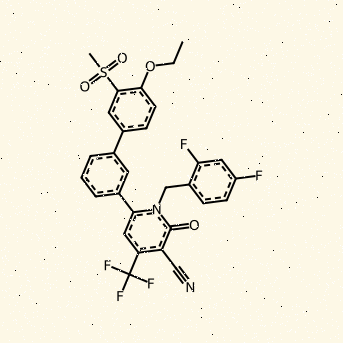 CCOc1ccc(-c2cccc(-c3cc(C(F)(F)F)c(C#N)c(=O)n3Cc3ccc(F)cc3F)c2)cc1S(C)(=O)=O